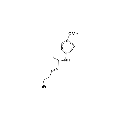 COc1ccc(NC(=O)C=C[CH]CC(C)C)cc1